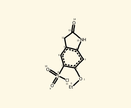 CCOc1cc2c(cc1S(=O)(=O)Cl)CC(=O)N2